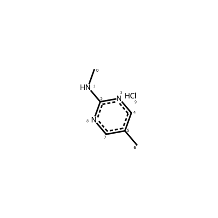 CNc1ncc(C)cn1.Cl